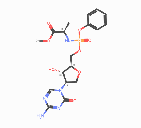 CC(C)OC(=O)[C@@H](C)NP(=O)(OC[C@H]1OC[C@@H](n2cnc(N)nc2=O)[C@@H]1O)Oc1ccccc1